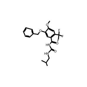 COc1cc(C(F)(F)F)c(C(=O)NC(=O)NCC(C)C)cc1OCc1ccccc1